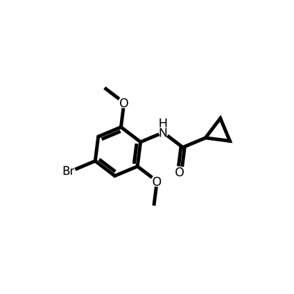 COc1cc(Br)cc(OC)c1NC(=O)C1CC1